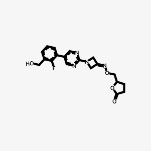 O=C1CCC(CON=C2CN(c3ncc(-c4cccc(CO)c4F)cn3)C2)O1